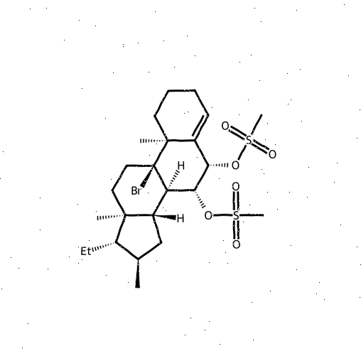 CC[C@H]1[C@H](C)C[C@H]2[C@@H]3[C@@H](OS(C)(=O)=O)[C@@H](OS(C)(=O)=O)C4=CCCC[C@]4(C)[C@@]3(Br)CC[C@@]21C